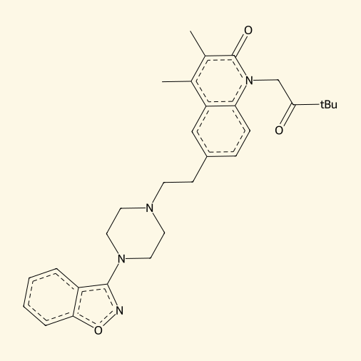 Cc1c(C)c2cc(CCN3CCN(c4noc5ccccc45)CC3)ccc2n(CC(=O)C(C)(C)C)c1=O